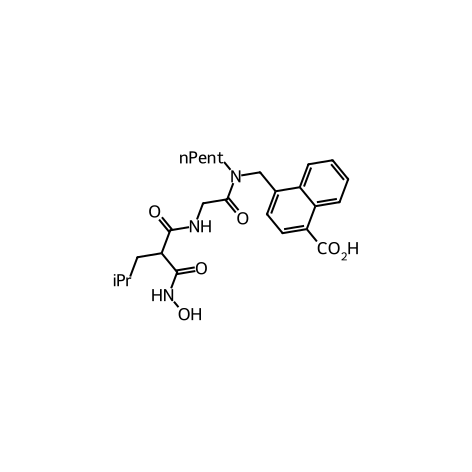 CCCCCN(Cc1ccc(C(=O)O)c2ccccc12)C(=O)CNC(=O)C(CC(C)C)C(=O)NO